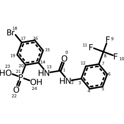 O=C(Nc1cccc(C(F)(F)F)c1)Nc1ccc(Br)cc1P(=O)(O)O